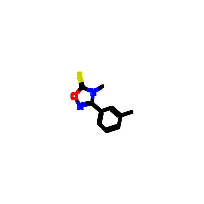 Cc1cccc(-c2noc(=S)n2C)c1